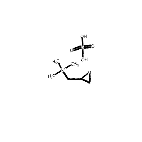 C[N+](C)(C)CC1CO1.O=S(=O)(O)O